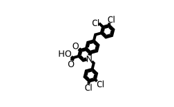 O=C(O)c1cn(Cc2ccc(Cl)c(Cl)c2)c2ccc(Cc3cccc(Cl)c3Cl)cc2c1=O